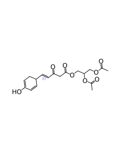 CC(=O)OCC(COC(=O)CC(=O)/C=C/C1C=CC(O)=CC1)OC(C)=O